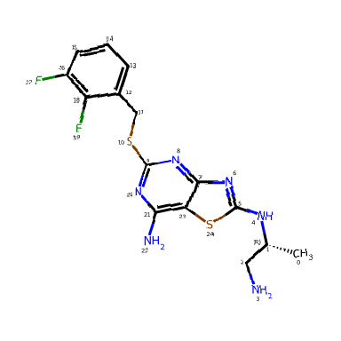 C[C@H](CN)Nc1nc2nc(SCc3cccc(F)c3F)nc(N)c2s1